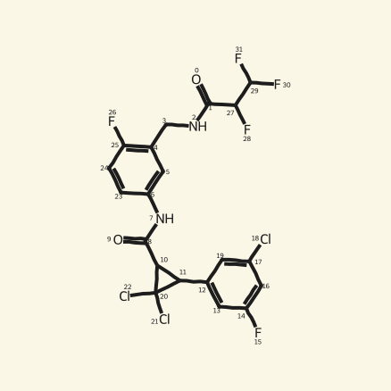 O=C(NCc1cc(NC(=O)C2C(c3cc(F)cc(Cl)c3)C2(Cl)Cl)ccc1F)C(F)C(F)F